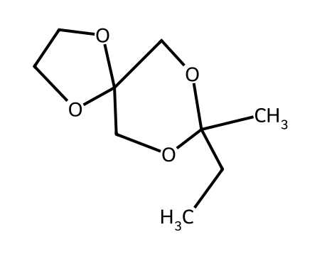 CCC1(C)OCC2(CO1)OCCO2